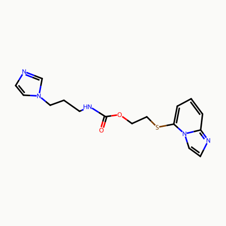 O=C(NCCCn1ccnc1)OCCSc1cccc2nccn12